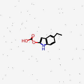 CCc1ccc2[nH]c(OC(=O)O)cc2c1